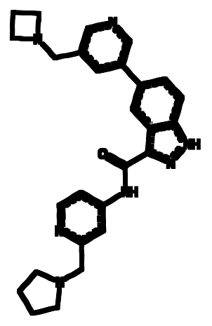 O=C(Nc1ccnc(CN2CCCC2)c1)c1n[nH]c2ccc(-c3cncc(CN4CCC4)c3)cc12